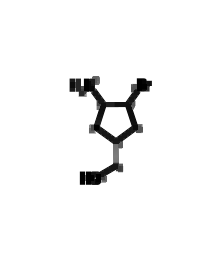 NC1CC(CO)CC1Br